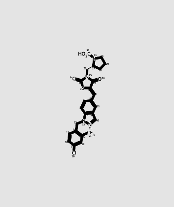 O=C1S/C(=C\c2ccc3c(cnn3Cc3ccc(Cl)cc3C(F)(F)F)c2)C(=O)N1C[C@H]1CCCN1C(=O)O